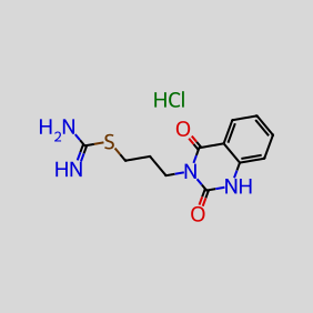 Cl.N=C(N)SCCCn1c(=O)[nH]c2ccccc2c1=O